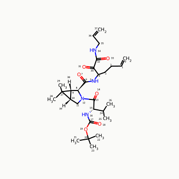 C=CCCC(NC(=O)[C@@H]1[C@@H]2[C@H](CN1C(=O)[C@@H](NC(=O)OC(C)(C)C)C(C)C)C2(C)C)C(=O)C(=O)NCC=C